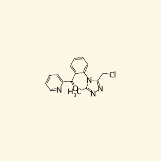 Cc1nnc(CCl)n1-c1ccccc1C(=O)c1ccccn1